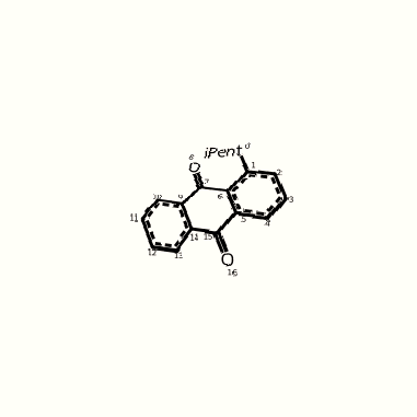 CCCC(C)c1cccc2c1C(=O)c1ccccc1C2=O